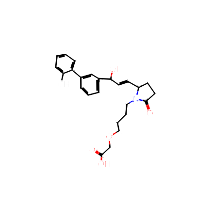 Cc1ccccc1-c1cccc(C(O)C=CC2CCC(=O)N2CCCCOCC(=O)O)c1